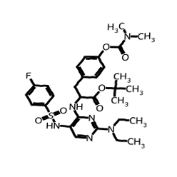 CCN(CC)c1ncc(NS(=O)(=O)c2ccc(F)cc2)c(NC(Cc2ccc(OC(=O)N(C)C)cc2)C(=O)OC(C)(C)C)n1